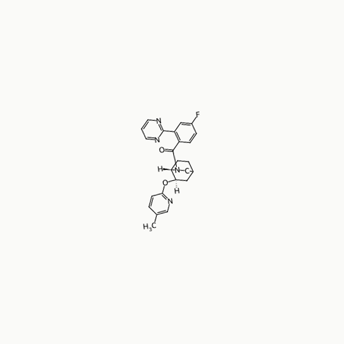 Cc1ccc(O[C@@H]2CC3CC[C@@H]2N(C(=O)c2ccc(F)cc2-c2ncccn2)C3)nc1